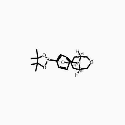 CC1(C)OB(c2ccc(N3[C@@H]4COC[C@H]3C[C@H](O)C4)cc2)OC1(C)C